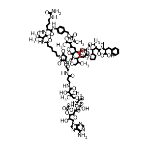 CCC(C)C(C(CC(=O)N1CCCC1C(OC)C(C)C(=O)NC(Cc1ccccc1)C(=O)O)OC)N(C)C(=O)C(CC(=O)C(C(C)C)N(C)C(=O)OCc1ccc(NC(=O)C(CCCNC(N)=O)NC(=O)C(NC(=O)CCCCCN2C(=O)CC(SCCNC(=O)CCNC(=O)C(O)C(C)(C)COP(=O)(O)OP(=O)(O)OCC3OC(n4cnc5c(N)ncnc54)C(O)C3OP(=O)(O)O)C2=O)C(C)C)cc1)C(C)C